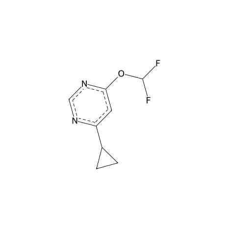 FC(F)Oc1cc(C2CC2)ncn1